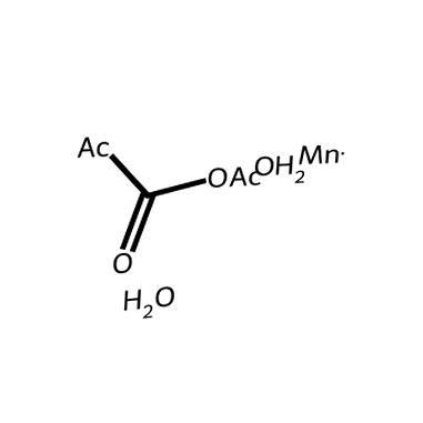 CC(=O)OC(=O)C(C)=O.O.O.[Mn]